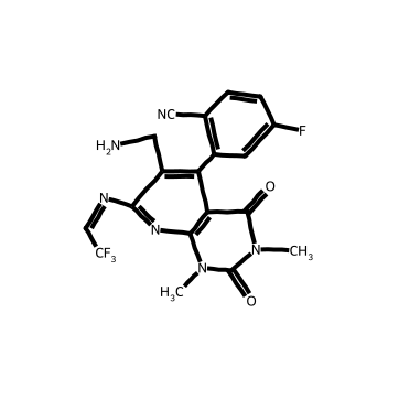 Cn1c(=O)c2c(-c3cc(F)ccc3C#N)c(CN)c(/N=C\C(F)(F)F)nc2n(C)c1=O